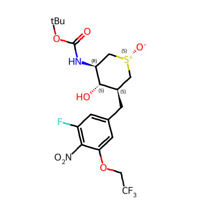 CC(C)(C)OC(=O)N[C@H]1C[S@+]([O-])C[C@@H](Cc2cc(F)c([N+](=O)[O-])c(OCC(F)(F)F)c2)[C@@H]1O